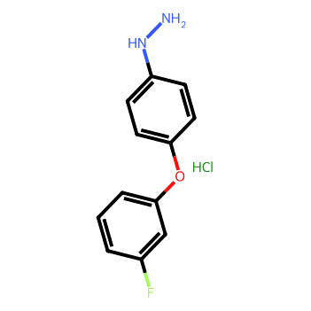 Cl.NNc1ccc(Oc2cccc(F)c2)cc1